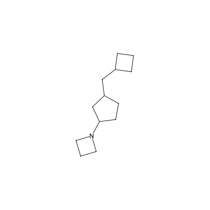 C1CC(CC2CCC(N3CCC3)C2)C1